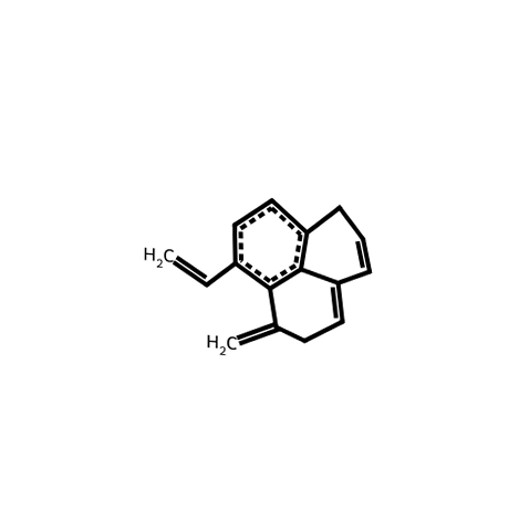 C=Cc1ccc2c3c1C(=C)CC=C3C=CC2